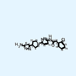 Nc1nnc(C2CCN(c3ccc(NC(=O)Cc4ccccc4Cl)nn3)CC2)s1